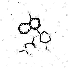 C[C@@H]1CNC[C@](NC(=O)CN(C)C)(c2ccc(Cl)c3ncccc23)C1